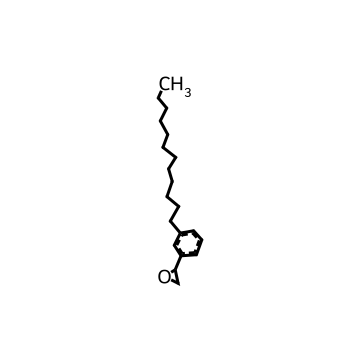 CCCCCCCCCCCCc1cccc(C2CO2)c1